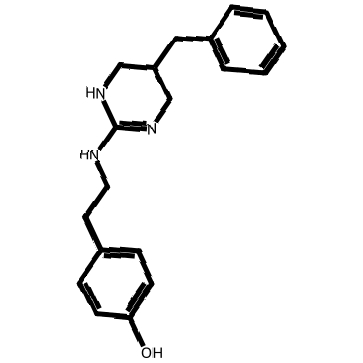 Oc1ccc(CCNC2=NCC(Cc3ccccc3)CN2)cc1